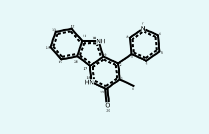 Cc1c(-c2cccnc2)c2[nH]c3ccccc3c2[nH]c1=O